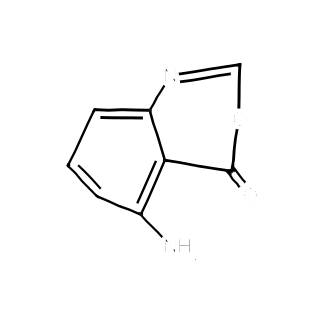 Nc1cccc2c1C(=O)CC=N2